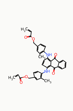 C=CC(=O)OCc1ccc(Nc2ccc(Nc3ccc(COC(=O)C=C)cc3C)c3c2C(=O)c2ccccc2C3=O)c(C)c1